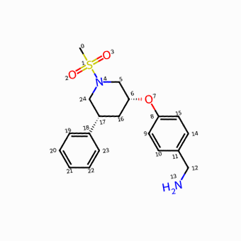 CS(=O)(=O)N1C[C@H](Oc2ccc(CN)cc2)C[C@H](c2ccccc2)C1